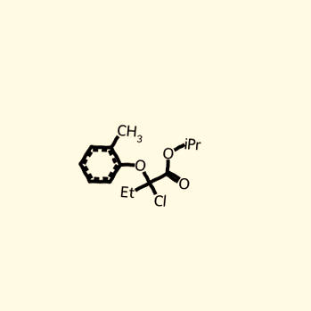 CCC(Cl)(Oc1ccccc1C)C(=O)OC(C)C